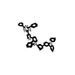 c1ccc(-c2nc(-c3ccccc3)nc(-c3ccnc(-c4cccc5c4c4ccccc4n5-c4cccc(-c5ccc6c(c5)c5ccccc5n6-c5ccccc5)c4)c3)n2)cc1